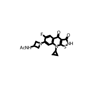 CC(=O)NC1CN(c2cc3c(cc2F)c(=O)c2c(=O)[nH]sc2n3C2CC2)C1